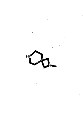 CN1CC2(CCPCC2)C1